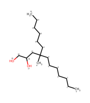 CCCCCCCC(C)(CCCCCC)CC(O)CO